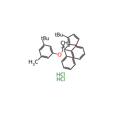 Cl.Cl.[CH2]=[Ti]([O]c1cc(C)cc(C(C)(C)C)c1)([C]1=C(C(C)(C)C)C=CC1)([c]1ccccc1)[c]1ccccc1